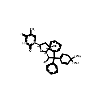 COC1(OC)C=CC(C(c2ccccc2)(c2ccccc2)C(O)[C@H]2O[C@@H](n3cc(C)c(=O)[nH]c3=O)C[C@@H]2O)=CC1